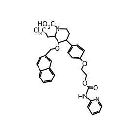 O=C(Nc1ccccn1)OCCOc1ccc(C2CCN(C(=O)O)C(CC(Cl)(Cl)Cl)C2OCc2ccc3ccccc3c2)cc1